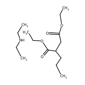 CCCC(CC(=O)OCC)C(=O)OCC.CCNCC